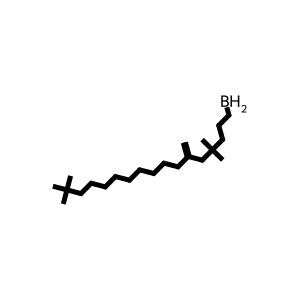 BCCCC(C)(C)CC(=C)CCCCCCCCCC(C)(C)C